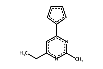 CCc1cc(-c2cccs2)nc(C)n1